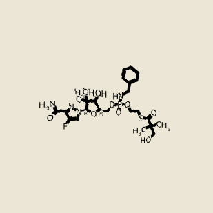 CC(C)(CO)C(=O)SCCOP(=O)(NCc1ccccc1)OC[C@H]1O[C@@H](n2cc(F)c(C(N)=O)n2)C(C)(O)C1O